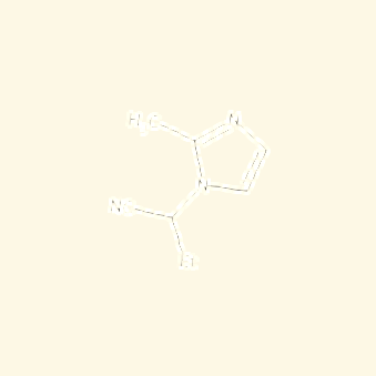 CCC(C#N)n1ccnc1C